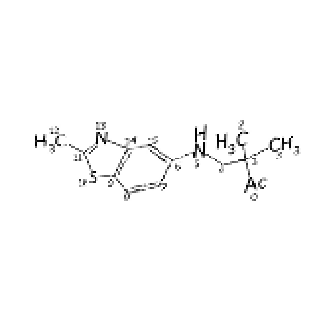 CC(=O)C(C)(C)CNc1ccc2sc(C)nc2c1